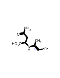 CCC/C=C(\C)NC(CC(N)=O)C(=O)O